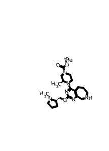 C[C@H]1CN(C(=O)OC(C)(C)C)CCN1c1nc(OC[C@@H]2CCCN2C)nc2c1CCCNC2